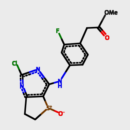 COC(=O)Cc1ccc(Nc2nc(Cl)nc3c2[S+]([O-])CC3)cc1F